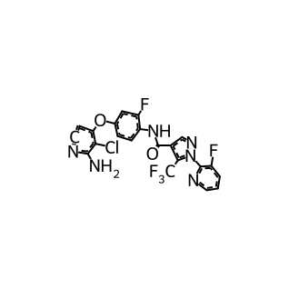 Nc1nccc(Oc2ccc(NC(=O)c3cnn(-c4ncccc4F)c3C(F)(F)F)c(F)c2)c1Cl